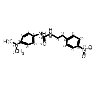 CN(C)c1ccc(NC(=O)NCCc2ccc([N+](=O)[O-])cc2)cc1